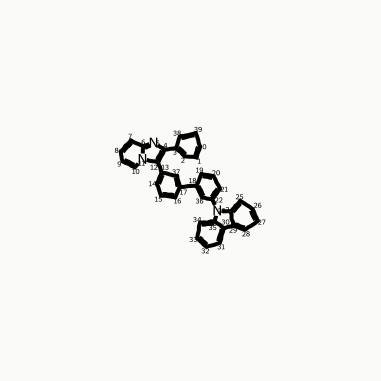 c1ccc(-c2nc3ccccn3c2-c2cccc(-c3cccc(-n4c5ccccc5c5ccccc54)c3)c2)cc1